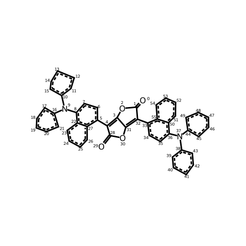 O=C1OC2=C(c3ccc(N(c4ccccc4)c4ccccc4)c4ccccc34)C(=O)OC2=C1c1ccc(N(c2ccccc2)c2ccccc2)c2ccccc12